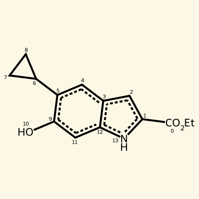 CCOC(=O)c1cc2cc(C3CC3)c(O)cc2[nH]1